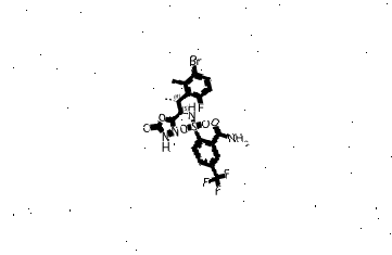 Cc1c(Br)ccc(F)c1[C@@H](C)[C@H](NS(=O)(=O)c1ccc(C(F)(F)F)cc1C(N)=O)c1n[nH]c(=O)o1